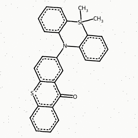 C[Si]1(C)c2ccccc2N(c2ccc3sc4ccccc4c(=O)c3c2)c2ccccc21